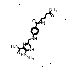 NNC1=C(C(N)=O)N=C(CNc2ccc(C(=O)NCCCC(N)=O)cc2)CN1